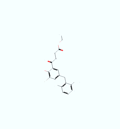 CCOC(=O)CCC(=O)c1cc(Cc2c(C)cccc2C)cc(Br)c1O